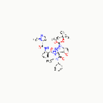 CCN(C(=O)C1(NC(=O)c2ccccc2NC(=O)c2ccnn2C)NN(C(=O)OC(C)(C)C)c2ccoc21)c1ccccc1